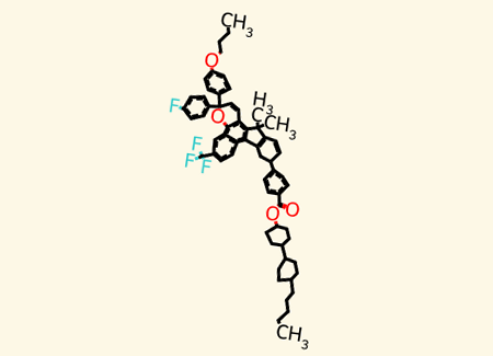 CCCCCC1CCC(C2CCC(OC(=O)c3ccc(C4C=CC5=C(C4)c4c(c6c(c7cc(C(F)(F)F)ccc47)OC(c4ccc(F)cc4)(c4ccc(OCCCC)cc4)C=C6)C5(C)C)cc3)CC2)CC1